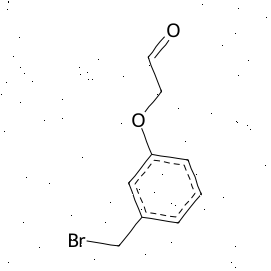 O=CCOc1cccc(CBr)c1